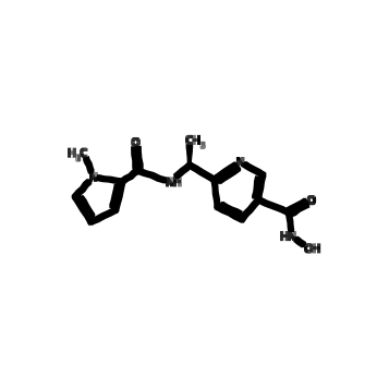 C[C@H](NC(=O)c1cccn1C)c1ccc(C(=O)NO)cn1